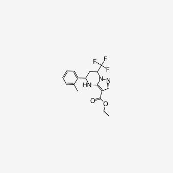 CCOC(=O)c1cnn2c1NC(c1ccccc1C)CC2C(F)(F)F